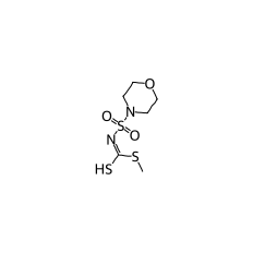 CSC(S)=NS(=O)(=O)N1CCOCC1